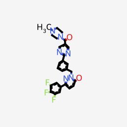 CN1CCN(C(=O)c2cnc(-c3cccc(Cn4nc(-c5cc(F)c(F)c(F)c5)ccc4=O)c3)nc2)CC1